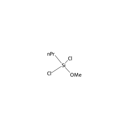 CCC[Si](Cl)(Cl)OC